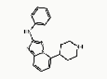 c1ccc(Nc2nc3cccc(C4CCNCC4)n3n2)cc1